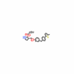 Cc1ccc(-c2ccc(Cc3ccc(OC[C@H]4CCNC4OC(=O)C(C)(C)C)cc3)cc2)s1